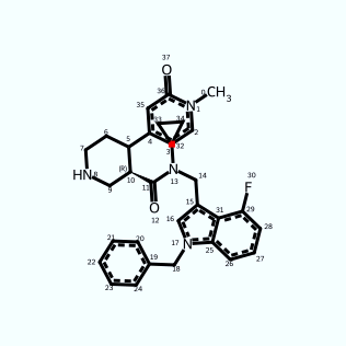 Cn1ccc(C2CCNC[C@@H]2C(=O)N(Cc2cn(Cc3ccccc3)c3cccc(F)c23)C2CC2)cc1=O